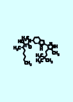 CCCCCC(C)[C@@H](O)C(=O)N(C)C1C=Cc2cc(-c3n[nH]c(C)c3CCC(C)(C)C)[nH]c2C1